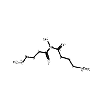 CCCCCCCCCCCCCC(=O)N(CCC)C(=O)CCCCCCCCCCCCC